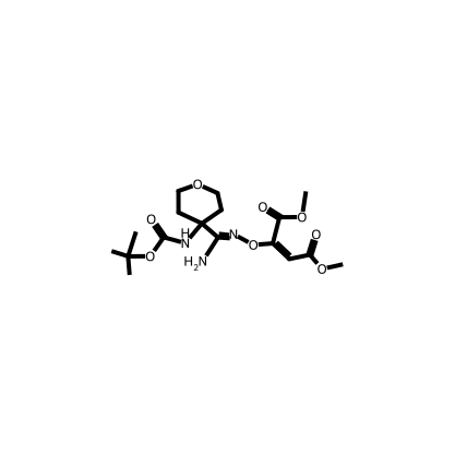 COC(=O)C=C(ON=C(N)C1(NC(=O)OC(C)(C)C)CCOCC1)C(=O)OC